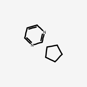 C1CCCC1.c1cncnc1